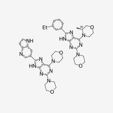 CCc1cccc(-c2nc3c(N4CCOC[C@@H]4C)nc(N4CCOCC4)nc3[nH]2)c1.c1cc2ncc(-c3nc4c(N5CCOCC5)nc(N5CCOCC5)nc4[nH]3)cc2[nH]1